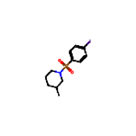 CC1CCCN(S(=O)(=O)c2ccc(I)cc2)C1